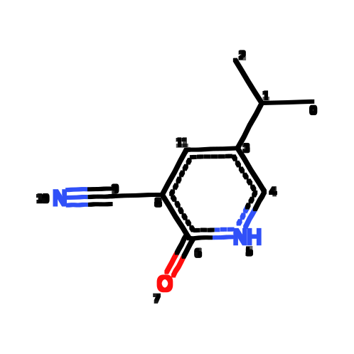 CC(C)c1c[nH]c(=O)c(C#N)c1